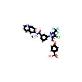 CN(C(=O)c1cccc(-n2nc(C(F)(F)F)c(Cl)c2COc2ccc(C(=O)O)cc2)c1)c1ccc2ncccc2c1